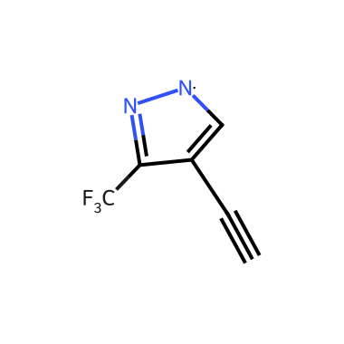 C#CC1=C[N]N=C1C(F)(F)F